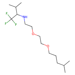 CC(C)CCCOCCOCCNC(C(C)C)C(F)(F)F